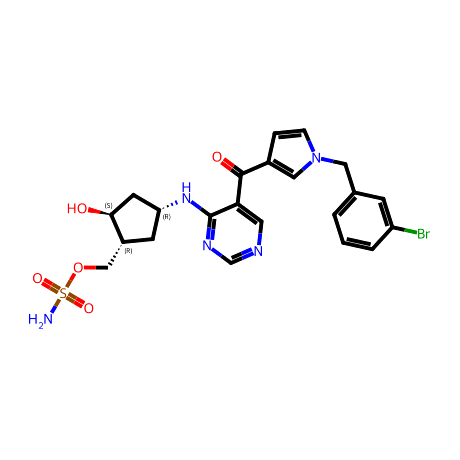 NS(=O)(=O)OC[C@H]1C[C@@H](Nc2ncncc2C(=O)c2ccn(Cc3cccc(Br)c3)c2)C[C@@H]1O